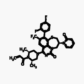 C=CC(=O)N1[C@H](C)CN(c2nc(=O)n3c4c(c(-c5ccc(F)cc5F)c(C(F)(F)F)cc24)SC[C@@H](n2ccccc2=O)C3)C[C@@H]1C